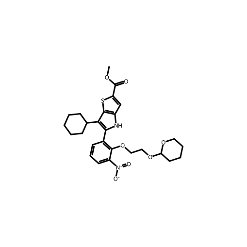 COC(=O)c1cc2[nH]c(-c3cccc([N+](=O)[O-])c3OCCOC3CCCCO3)c(C3CCCCC3)c2s1